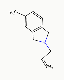 C=CCN1Cc2ccc(C)cc2C1